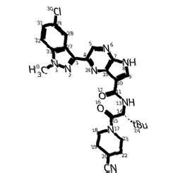 Cn1nc(-c2cnc3[nH]cc(C(=O)N[C@@H](C(=O)N4CCC(C#N)CC4)C(C)(C)C)c3n2)c2cc(Cl)ccc21